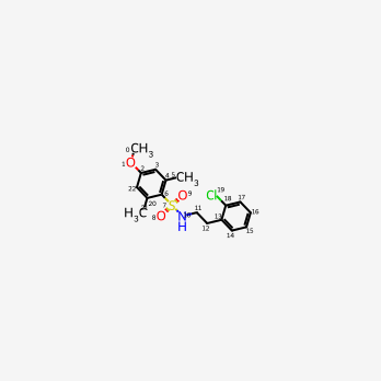 COc1cc(C)c(S(=O)(=O)NCCc2ccccc2Cl)c(C)c1